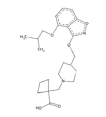 CC(C)COc1cccc2onc(OCC3CCN(CC4(C(=O)O)CCC4)CC3)c12